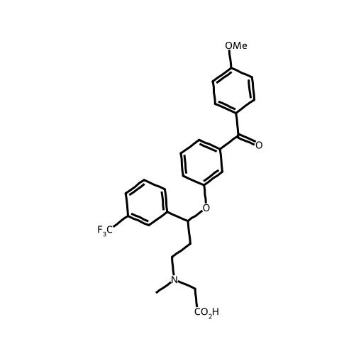 COc1ccc(C(=O)c2cccc(OC(CCN(C)CC(=O)O)c3cccc(C(F)(F)F)c3)c2)cc1